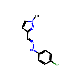 Cn1ccc(C=NNc2ccc(Br)cc2)n1